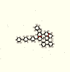 c1ccc(-c2ccc(-c3ccc(-c4ccc(N(c5ccccc5-c5cccc6c5sc5ccccc56)c5c(-c6ccccc6)c6ccccc6c6ccccc56)cc4)cc3)cc2)cc1